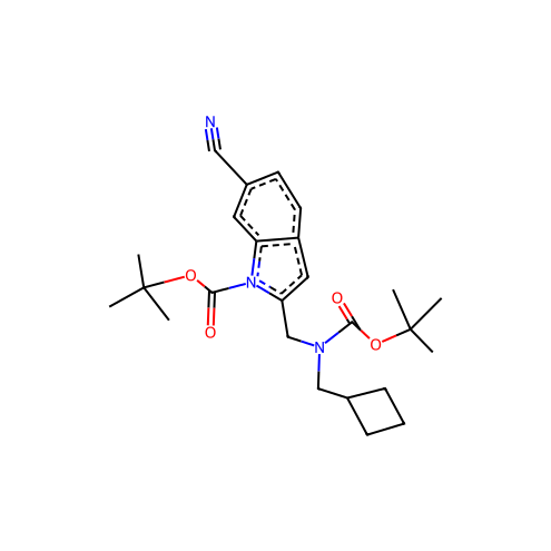 CC(C)(C)OC(=O)N(Cc1cc2ccc(C#N)cc2n1C(=O)OC(C)(C)C)CC1CCC1